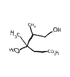 CC(CO)C(C)(O)CC(=O)O